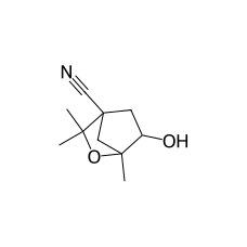 CC12CC(C#N)(CC1O)C(C)(C)O2